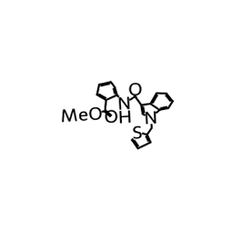 COC(=O)c1ccccc1NC(=O)c1cn(Cc2cccs2)c2ccccc12